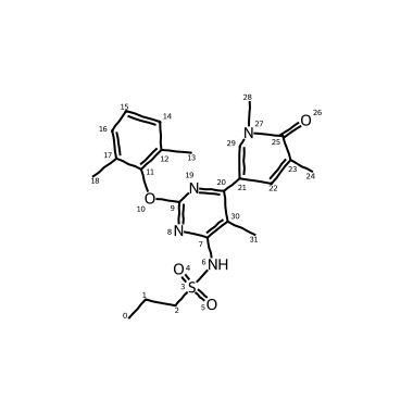 CCCS(=O)(=O)Nc1nc(Oc2c(C)cccc2C)nc(-c2cc(C)c(=O)n(C)c2)c1C